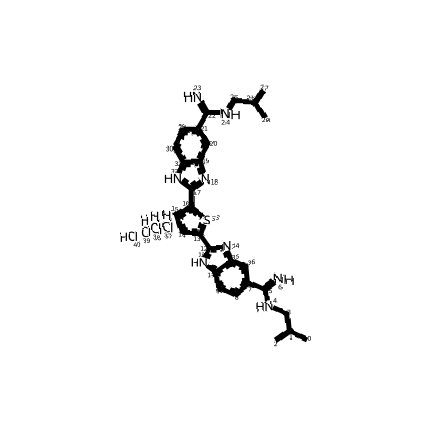 CC(C)CNC(=N)c1ccc2[nH]c(-c3ccc(-c4nc5cc(C(=N)NCC(C)C)ccc5[nH]4)s3)nc2c1.Cl.Cl.Cl.Cl